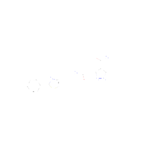 Cn1ncc(C(=O)N2CCC2)c1OC(=O)NCCc1csc(-c2ccccc2)n1